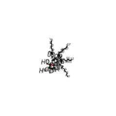 CCCCCCCC(=O)O[C@@H]1[C@@H](O[C@@H]2O[C@H](CO)[C@H](O)[C@H](O)[C@H]2O)O[C@H](COC(=O)CCCCC)[C@@H](OC(=O)CCCCC)[C@@H]1OC(=O)CCCCC